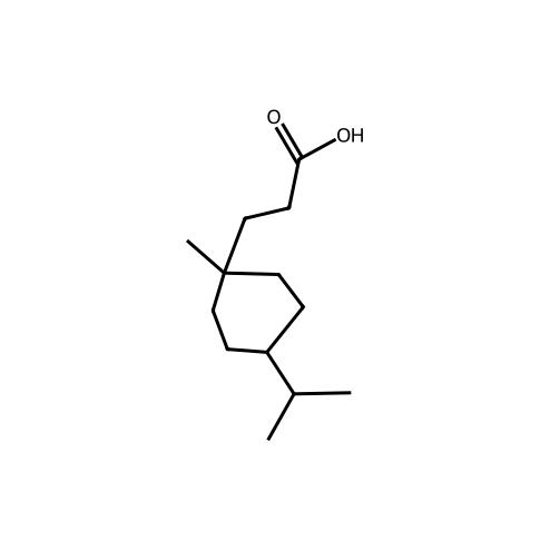 CC(C)C1CCC(C)(CCC(=O)O)CC1